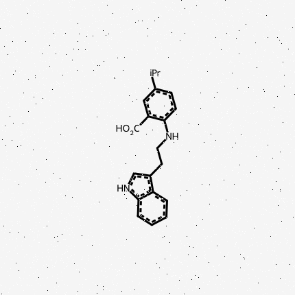 CC(C)c1ccc(NCCc2c[nH]c3ccccc23)c(C(=O)O)c1